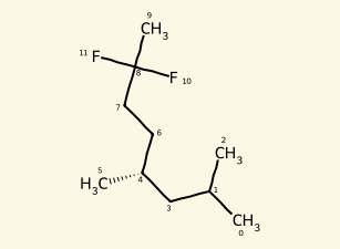 CC(C)C[C@H](C)CCC(C)(F)F